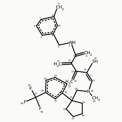 C=C(NCc1cccc(C)c1)C(=C)C(=C)/C(S)=C\N(C)CC1(c2cccc(C(F)(F)F)c2)CCCC1